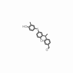 Cc1cc(Sc2ccc(O)c(C(C)c3ccc(C=O)cc3)c2)ccc1O